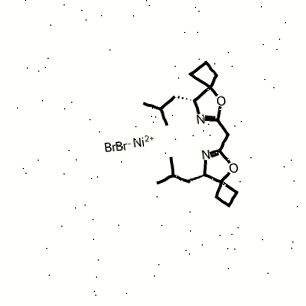 CC(C)C[C@H]1N=C(CC2=N[C@H](CC(C)C)C3(CCC3)O2)OC12CCC2.[Br-].[Br-].[Ni+2]